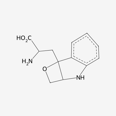 NC(CC12OCC1Nc1ccccc12)C(=O)O